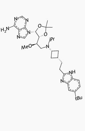 CO[C@H](CN(C(C)C)[C@H]1C[C@@H](CCc2nc3cc(C(C)(C)C)ccc3[nH]2)C1)[C@H]1OC(C)(C)O[C@H]1n1cnc2c(N)ncnc21